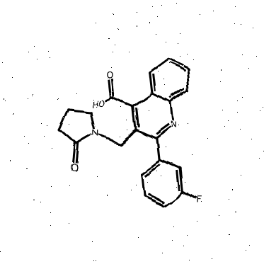 O=C(O)c1c(CN2CCCC2=O)c(-c2cccc(F)c2)nc2ccccc12